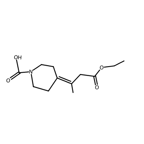 CCOC(=O)CC(C)=C1CCN(C(=O)O)CC1